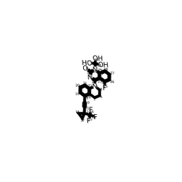 O=c1nc(N2CCCc3c(C#CC4(C(F)(F)F)CC4)cccc32)c2c(F)cccc2n1C(O)(O)O